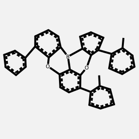 Cc1ccccc1-c1cccc2c1Oc1c(-c3ccccc3C)ccc3c1B2c1cccc(-c2ccccc2)c1O3